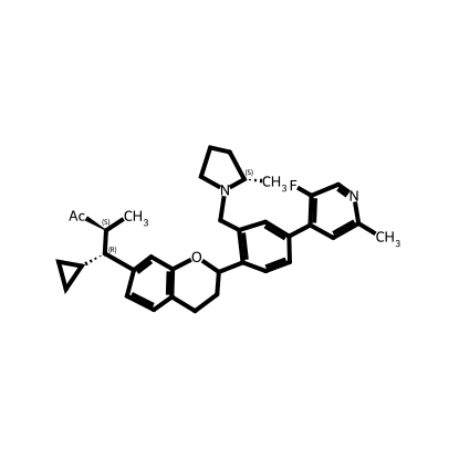 CC(=O)[C@@H](C)[C@H](c1ccc2c(c1)OC(c1ccc(-c3cc(C)ncc3F)cc1CN1CCC[C@@H]1C)CC2)C1CC1